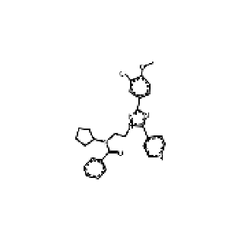 COc1ccc(-c2nc(-c3ccncc3)n(CCN(C(=O)c3ccccc3)C3CCCC3)n2)cc1Cl